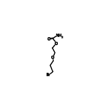 NC(=O)OCCOCCCBr